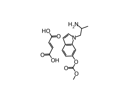 COC(=O)Oc1ccc2ccn(CC(C)N)c2c1.O=C(O)C=CC(=O)O